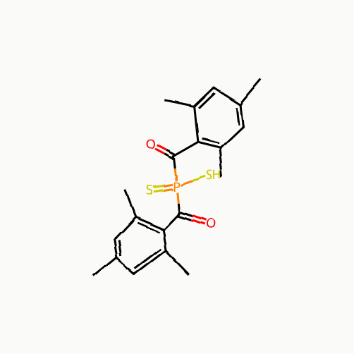 Cc1cc(C)c(C(=O)P(=S)(S)C(=O)c2c(C)cc(C)cc2C)c(C)c1